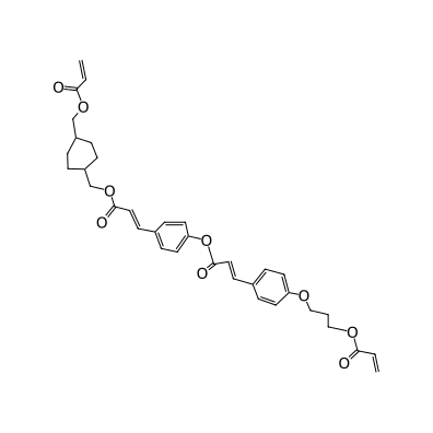 C=CC(=O)OCCCOc1ccc(/C=C/C(=O)Oc2ccc(/C=C/C(=O)OCC3CCC(COC(=O)C=C)CC3)cc2)cc1